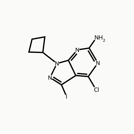 Nc1nc(Cl)c2c(I)nn(C3CCC3)c2n1